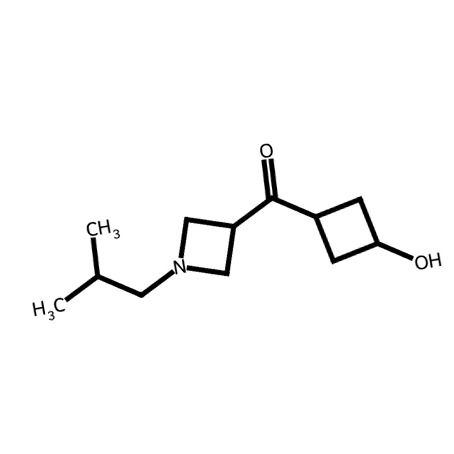 CC(C)CN1CC(C(=O)C2CC(O)C2)C1